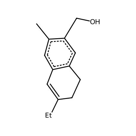 [CH2]CC1=Cc2cc(C)c(CO)cc2CC1